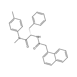 Cc1ccc(N(C)C(=O)[C@H](Cc2ccccc2)NC(=O)Cc2cccc3ccccc23)cc1